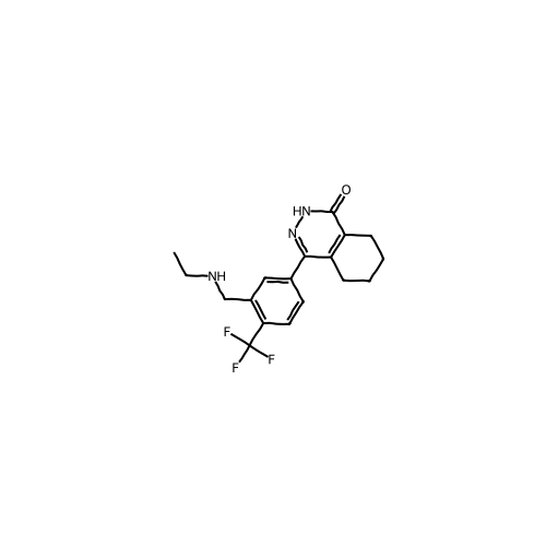 CCNCc1cc(-c2n[nH]c(=O)c3c2CCCC3)ccc1C(F)(F)F